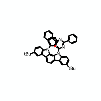 CC(C)(C)c1ccc2c(c1)c1ccc3c4cc(C(C)(C)C)ccc4n(-c4nc(-c5ccccc5)nc(-c5ccccc5)n4)c3c1n2-c1ccccc1